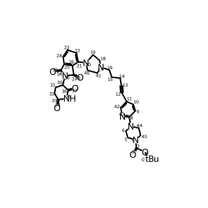 CC(C)(C)OC(=O)N1CCN(c2ccc(C#CCCCN3CCN(c4cccc5c4C(=O)N(C4CCC(=O)NC4=O)C5=O)CC3)cn2)CC1